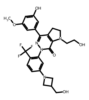 COc1cc(O)cc(-c2nn(-c3cc(N4CC(CO)C4)ccc3C(F)(F)F)c(=O)c3c2CCN3CCO)c1